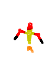 COS(=O)(=S)OC.P